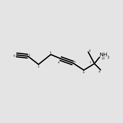 C#CCCC#CCC(C)(C)N